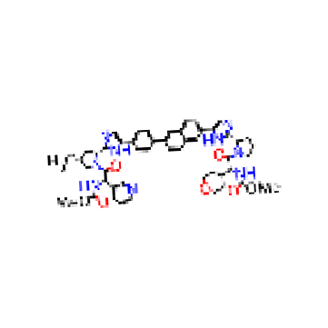 COC(=O)NC(C(=O)N1C[C@H](C)C[C@H]1c1ncc(-c2ccc(-c3ccc4cc(-c5cnc([C@@H]6CCCN6C(=O)[C@@H](NC(=O)OC)C6CCOCC6)[nH]5)ccc4c3)cc2)[nH]1)c1cccnc1